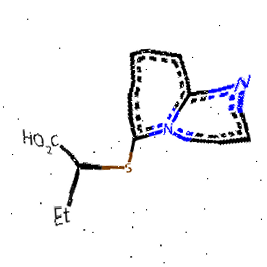 CCC(Sc1cccc2nccn12)C(=O)O